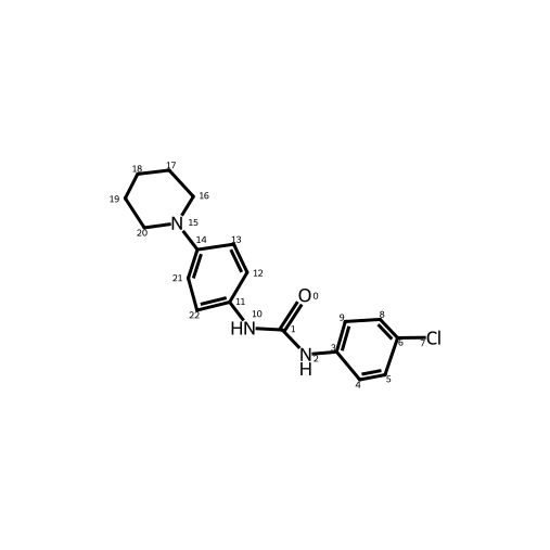 O=C(Nc1ccc(Cl)cc1)Nc1ccc(N2CCCCC2)cc1